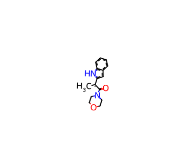 C[C](C(=O)N1CCOCC1)c1cc2ccccc2[nH]1